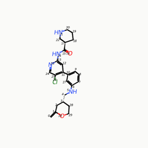 C=C1C[C@H](CNc2cccc(-c3cc(NC(=O)[C@@H]4CCCNC4)ncc3Cl)c2)CCO1